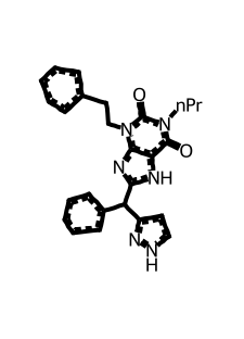 CCCn1c(=O)c2[nH]c(C(c3ccccc3)c3cc[nH]n3)nc2n(CCc2ccccc2)c1=O